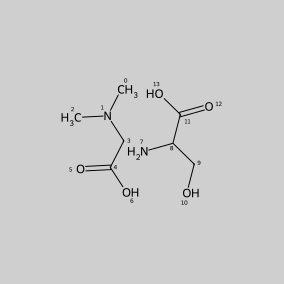 CN(C)CC(=O)O.NC(CO)C(=O)O